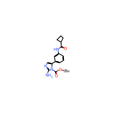 CC(C)(C)OC(=O)n1c(-c2cccc(NC(=O)C3CCC3)c2)cnc1N